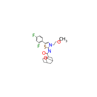 COCCn1cc(-c2ccc(F)cc2F)s/c1=N\C(=O)C12CC3CC(CC(C3)O1)C2